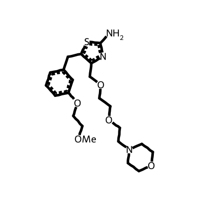 COCCOc1cccc(Cc2sc(N)nc2COCCOCCN2CCOCC2)c1